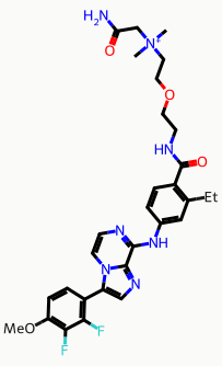 CCc1cc(Nc2nccn3c(-c4ccc(OC)c(F)c4F)cnc23)ccc1C(=O)NCCOCC[N+](C)(C)CC(N)=O